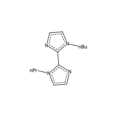 CCCCn1ccnc1-c1nccn1CCC